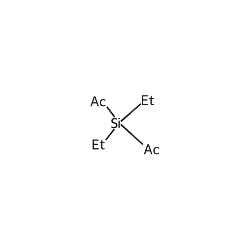 CC[Si](CC)(C(C)=O)C(C)=O